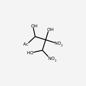 CC(=O)C(O)C(O)(C(O)[N+](=O)[O-])[N+](=O)[O-]